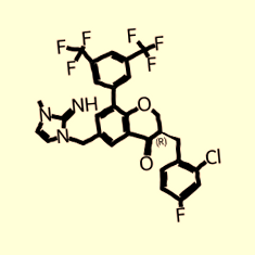 Cn1ccn(Cc2cc3c(c(-c4cc(C(F)(F)F)cc(C(F)(F)F)c4)c2)OC[C@@H](Cc2ccc(F)cc2Cl)C3=O)c1=N